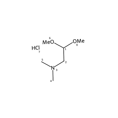 COC(CN(C)C)OC.Cl